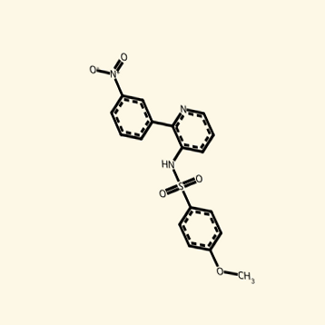 COc1ccc(S(=O)(=O)Nc2cccnc2-c2cccc([N+](=O)[O-])c2)cc1